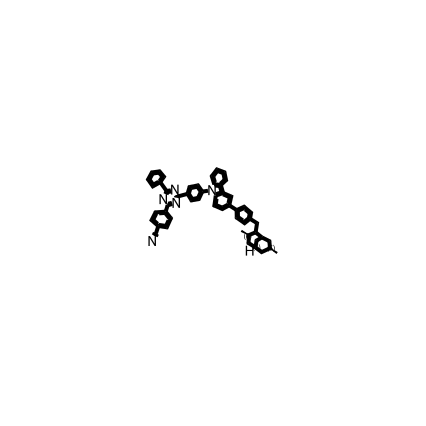 C[C@@H]1CC2C[C@@H](C1)C[C@@H](C)C2Cc1ccc(-c2ccc3c(c2)c2ccccc2n3-c2ccc(-c3nc(-c4ccccc4)nc(-c4ccc(C#N)cc4)n3)cc2)cc1